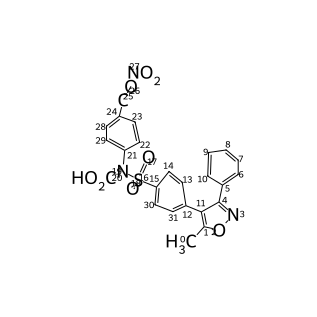 Cc1onc(-c2ccccc2)c1-c1ccc(S(=O)(=O)N(C(=O)O)c2ccc(CO[N+](=O)[O-])cc2)cc1